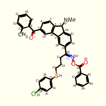 CNC1c2ccc(C(=O)c3ccccc3C)cc2-c2cc(/C(CCCSc3ccc(Cl)cc3)=N/OC(=O)c3ccccc3)ccc21